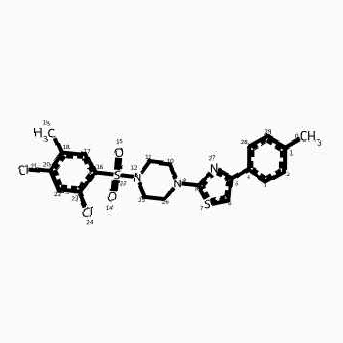 Cc1ccc(-c2csc(N3CCN(S(=O)(=O)c4cc(C)c(Cl)cc4Cl)CC3)n2)cc1